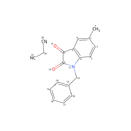 Cc1ccc2c(c1)C(=O)C(=O)N2Cc1ccccc1.N#CCC#N